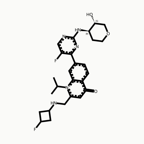 CC(C)n1c(CNC2CC(F)C2)cc(=O)c2ccc(-c3nc(N[C@@H]4CCOC[C@H]4O)ncc3F)cc21